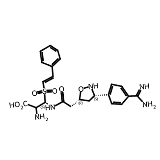 N=C(N)c1ccc([C@@H]2C[C@H](CC(=O)N[C@H](C(N)C(=O)O)S(=O)(=O)C=Cc3ccccc3)ON2)cc1